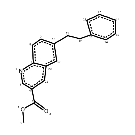 COC(=O)c1cnc2ccc(CCc3ccccc3)cc2c1